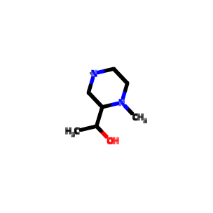 CC(O)C1C[N]CCN1C